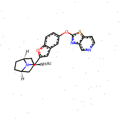 CC(=O)N[C@H]1C[C@H]2CC[C@@H](C1)N2Cc1cc2cc(Oc3nc4cnccc4s3)ccc2o1